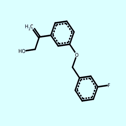 C=C(CO)c1cccc(OCc2cccc(F)c2)c1